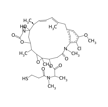 COc1cc2cc(c1Cl)N(C)C(=O)CC(OC(=O)C(C)N(C)C(=O)CCS)C1(C)OC1C(C)C1CC(O)(NC(=O)O1)[C@@H](C)/C=C/C=C(\C)C2